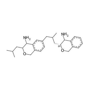 CC(C)CC1OCc2ccc(CC(C)C[C@H]3OCc4ccccc4C3N)cc2C1N